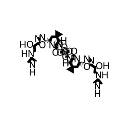 O=C1N2C[C@H](N1OS(=O)(=O)ON1C(=O)N3C[C@H]1C1(CC1)C[C@H]3c1nnc(C(O)CNC3CNC3)o1)C1(CC1)C[C@H]2c1nnc(C(O)CNC2CNC2)o1